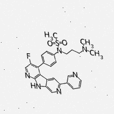 CN(C)CCCN(c1ccc(-c2c(F)cnc3[nH]c4cnc(-c5cccnc5)cc4c23)cc1)S(C)(=O)=O